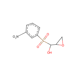 O=[N+]([O-])c1cccc(S(=O)(=O)C(O)C2CO2)c1